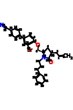 C=CC[C@@H]1C[C@@H](COc2ccc(-c3ccc(C#N)cc3)cc2Br)N(CCCc2ccccc2)C1=O